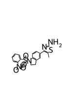 Cc1sc(N)nc1-c1ccc2c(c1)CCN2S(=O)(=O)c1ccccc1[N+](=O)[O-]